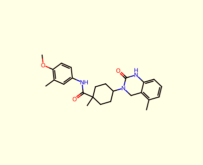 COc1ccc(NC(=O)C2(C)CCC(N3Cc4c(C)cccc4NC3=O)CC2)cc1C